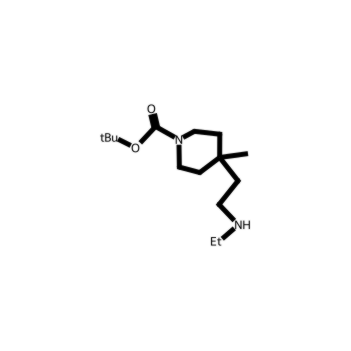 CCNCCC1(C)CCN(C(=O)OC(C)(C)C)CC1